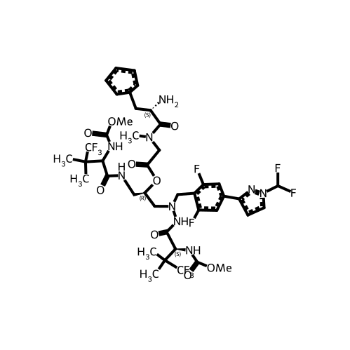 COC(=O)NC(C(=O)NC[C@H](CN(Cc1c(F)cc(-c2ccn(C(F)F)n2)cc1F)NC(=O)[C@@H](NC(=O)OC)C(C)(C)C(F)(F)F)OC(=O)CN(C)C(=O)[C@@H](N)Cc1ccccc1)C(C)(C)C(F)(F)F